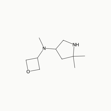 CN(C1COC1)C1CNC(C)(C)C1